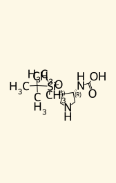 CC(C)(C)[Si](C)(C)O[C@H]1CNC[C@H]1NC(=O)O